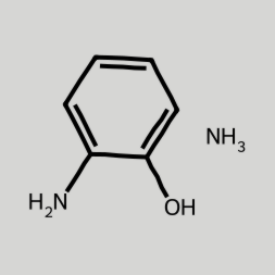 N.Nc1ccccc1O